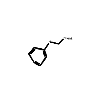 CCCCCC[N]c1ccccc1